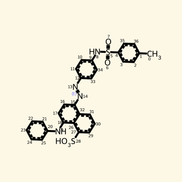 Cc1ccc(S(=O)(=O)Nc2ccc(/N=N/c3ccc(Nc4ccccc4)c4c(S(=O)(=O)O)cccc34)cc2)cc1